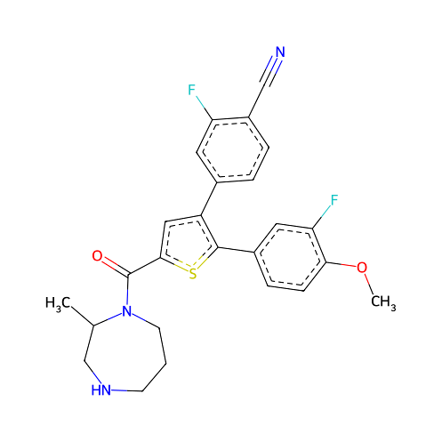 COc1ccc(-c2sc(C(=O)N3CCCNCC3C)cc2-c2ccc(C#N)c(F)c2)cc1F